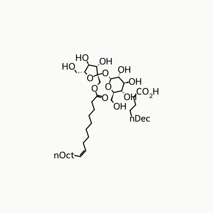 CCCCCCCC/C=C\CCCCCCCC(=O)OC[C@@]1(O[C@H]2O[C@H](CO)[C@@H](O)[C@H](O)[C@H]2O)O[C@H](CO)[C@@H](O)[C@@H]1O.CCCCCCCCCCCCCC(=O)O